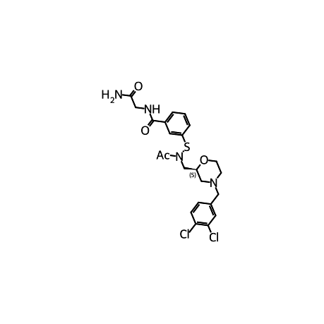 CC(=O)N(C[C@@H]1CN(Cc2ccc(Cl)c(Cl)c2)CCO1)Sc1cccc(C(=O)NCC(N)=O)c1